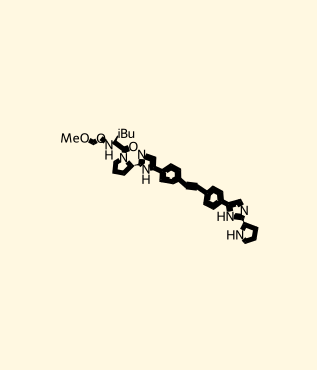 CC[C@H](C)[C@H](NOCOC)C(=O)N1CCC[C@H]1c1ncc(-c2ccc(C#Cc3ccc(-c4cnc([C@@H]5CCCN5)[nH]4)cc3)cc2)[nH]1